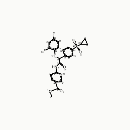 COC(=O)c1ccc(NC(=O)C(Oc2ccc(F)cc2F)c2ccc(S(=O)(=O)C3CC3)cc2)nc1